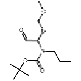 CCCN(C(=O)OC(C)(C)C)C(C=O)OCOC